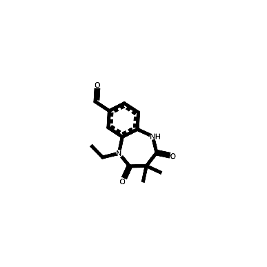 CCN1C(=O)C(C)(C)C(=O)Nc2ccc(C=O)cc21